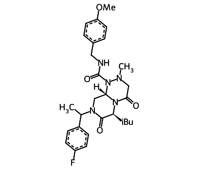 CCC(C)[C@H]1C(=O)N(C(C)c2ccc(F)cc2)C[C@H]2N1C(=O)CN(C)N2C(=O)NCc1ccc(OC)cc1